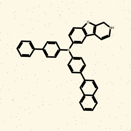 C1=Cc2c(oc3ccc(N(c4ccc(-c5ccccc5)cc4)c4ccc(-c5ccc6ccccc6c5)cc4)cc23)CN1